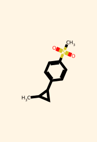 CC1CC1c1ccc(S(C)(=O)=O)cc1